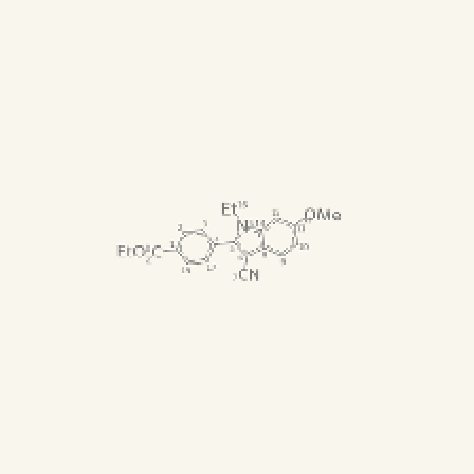 CCOC(=O)c1ccc(-c2c(C#N)c3ccc(OC)cc3n2CC)cc1